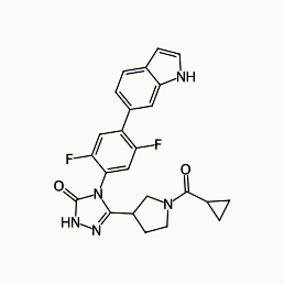 O=C(C1CC1)N1CCC(c2n[nH]c(=O)n2-c2cc(F)c(-c3ccc4cc[nH]c4c3)cc2F)C1